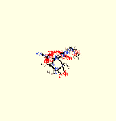 CC1=CC2=NC1=CC1(CCO[N+](CC(=O)O)(CC(=O)O)C(CNCCN)(CC(=O)O)CC(=O)O)CC(C)(CCO[N+](CC(=O)O)(CC(=O)O)C(CNCCN)(CC(=O)O)CC(=O)O)C(C=C3N=C(C=c4[nH]c(c(C)c4CCC(=O)O)=C2)C(CCC(=O)O)=C3C)N1.CCOC(C)=O.CCOC(C)=O